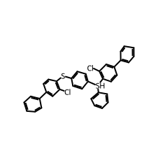 Clc1cc(-c2ccccc2)ccc1Sc1ccc([SH](c2ccccc2)c2ccc(-c3ccccc3)cc2Cl)cc1